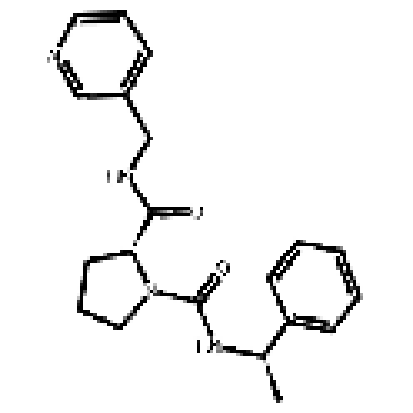 C[C@@H](NC(=O)N1CCC[C@H]1C(=O)NCc1cccnc1)c1ccccc1